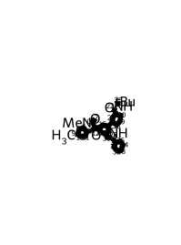 CNC(=O)c1c(-c2ccc(C)cc2)oc2c1cc(-c1cccc(C(=O)NC(C)(C)C)c1)c1[nH]c(-c3ccccc3)cc12